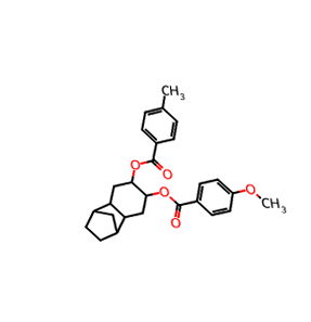 COc1ccc(C(=O)OC2CC3C4CCC(C4)C3CC2OC(=O)c2ccc(C)cc2)cc1